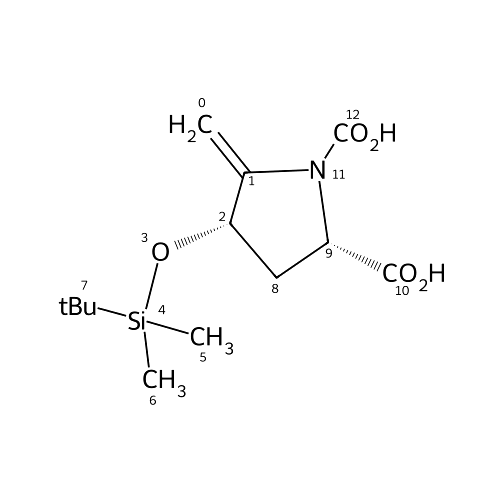 C=C1[C@@H](O[Si](C)(C)C(C)(C)C)C[C@@H](C(=O)O)N1C(=O)O